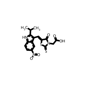 CC(C)c1[nH]c2ccc([N+](=O)[O-])cc2c1/C=C1\SC(=S)N(CC(=O)O)C1=O